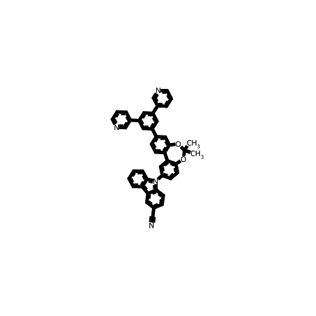 CC1(C)Oc2cc(-c3cc(-c4cccnc4)cc(-c4cccnc4)c3)ccc2-c2cc(-n3c4ccccc4c4cc(C#N)ccc43)ccc2O1